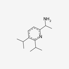 CC(C)c1ccc(C(C)N)nc1C(C)C